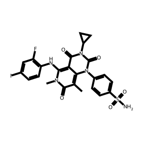 Cc1c(=O)n(C)c(Nc2ccc(I)cc2F)c2c(=O)n(C3CC3)c(=O)n(-c3ccc(S(N)(=O)=O)cc3)c12